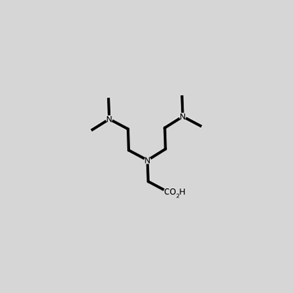 CN(C)CCN(CCN(C)C)CC(=O)O